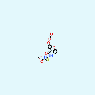 CCOC(=O)c1csc(NC(=O)C(C)(C)C2c3ccccc3Oc3cc(OCOCCOC)ccc32)n1